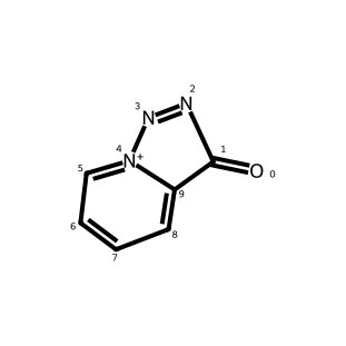 O=C1N=N[n+]2ccccc21